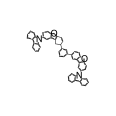 C1=CC(c2cccc(-c3ccc4oc5ccc(-n6c7ccccc7c7ccccc76)cc5c4c3)c2)Cc2c1oc1ccc(-n3c4ccccc4c4ccccc43)cc21